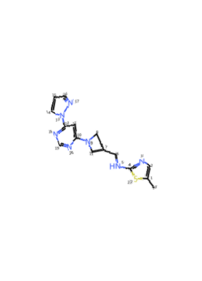 Cc1cnc(NCC2CN(c3cc(-n4cccn4)ncn3)C2)s1